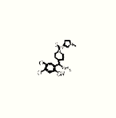 CN1CC[C@@H](C(=O)N2CCC(C(N)c3cc(Cl)c(Cl)cc3O)CC2)C1